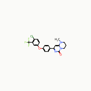 CN1CCCn2c1cc(-c1ccc(Oc3ccc(Cl)c(C(F)(F)F)c3)cc1)nc2=O